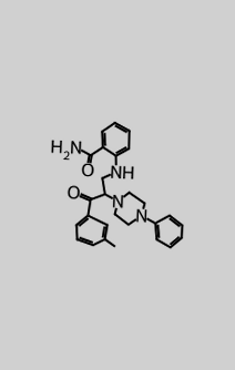 Cc1cccc(C(=O)C(CNc2ccccc2C(N)=O)N2CCN(c3ccccc3)CC2)c1